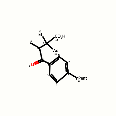 CCCCCc1ccc(C(=O)C(C)C(CC)(C(C)=O)C(=O)O)cc1